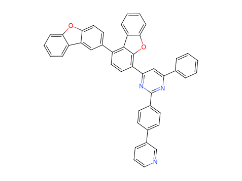 c1ccc(-c2cc(-c3ccc(-c4ccc5oc6ccccc6c5c4)c4c3oc3ccccc34)nc(-c3ccc(-c4cccnc4)cc3)n2)cc1